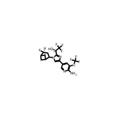 Nc1ncc(-c2cn(C3C[C@H](F)C4CC3C4)c([C@@H](O)C(F)(F)F)n2)cc1OC(F)(F)F